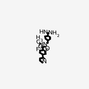 CCO[C@H](C(=O)NCc1ccc(C(=N)N)cc1)c1c(F)cc(-c2cccnc2)cc1F